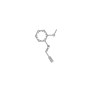 C#CC=Nc1ccccc1OC